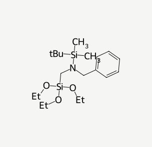 CCO[Si](CN(Cc1ccccc1)[Si](C)(C)C(C)(C)C)(OCC)OCC